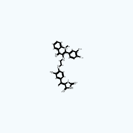 CC(=C1SC(=O)NC1=O)c1ccc(OCCOc2c(-c3ccc(F)c(F)c3)n(C)c3ccccc3c2=O)c(F)c1